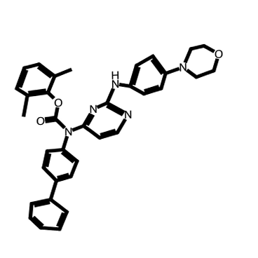 Cc1cccc(C)c1OC(=O)N(c1ccc(-c2ccccc2)cc1)c1ccnc(Nc2ccc(N3CCOCC3)cc2)n1